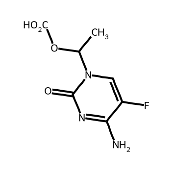 CC(OC(=O)O)n1cc(F)c(N)nc1=O